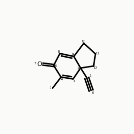 C#CC12C=C(C)C(=O)C=C1CCC2